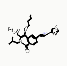 CCCCOc1c(CN)n(CC(C)C)c(=O)c2ccc(/C=C/c3cscn3)cc12